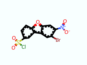 O=[N+]([O-])c1cc2oc3ccc(S(=O)(=O)Cl)cc3c2cc1Br